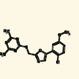 COc1ccc(Cl)c(-c2cnc(CSc3nc(C)nc(N)n3)o2)c1